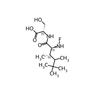 CC([C@H](C)[C@H](NF)C(=O)N[C@@H](CO)C(=O)O)C(C)(C)C